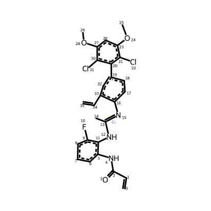 C=CC(=O)Nc1cccc(F)c1N/C(C)=N/c1ccc(-c2c(Cl)c(OC)cc(OC)c2Cl)cc1C=C